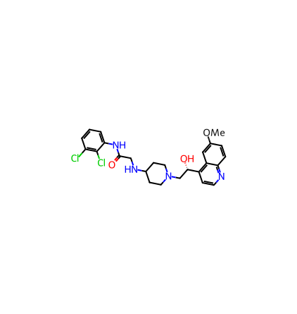 COc1ccc2nccc([C@@H](O)CN3CCC(NCC(=O)Nc4cccc(Cl)c4Cl)CC3)c2c1